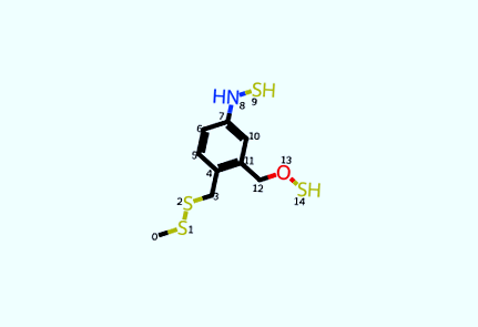 CSSCc1ccc(NS)cc1COS